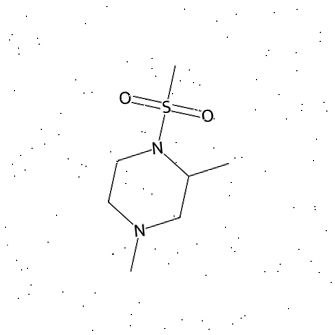 CC1CN(C)CCN1S(C)(=O)=O